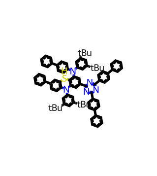 CC(C)(C)c1cc(N2c3ccc(-c4ccccc4)cc3[SH]3c4cc(-c5ccccc5)ccc4N(c4cc(C(C)(C)C)cc(C(C)(C)C)c4)c4cc(-c5nc(-c6ccc(-c7ccccc7)cc6)nc(-c6ccc(-c7ccccc7)cc6)n5)cc2c43)cc(C(C)(C)C)c1